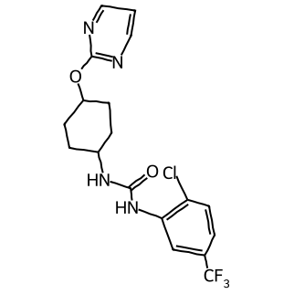 O=C(Nc1cc(C(F)(F)F)ccc1Cl)NC1CCC(Oc2ncccn2)CC1